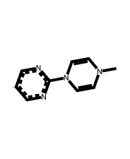 CN1C=CN(c2nc[c]cn2)C=C1